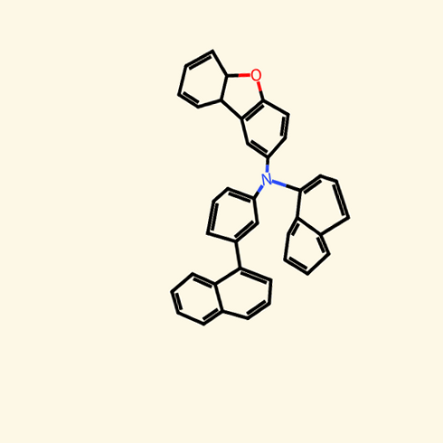 C1=CC2Oc3ccc(N(c4cccc(-c5cccc6ccccc56)c4)c4cccc5ccccc45)cc3C2C=C1